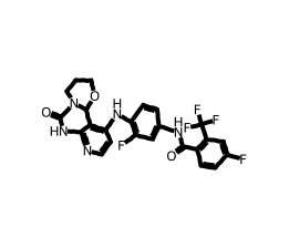 O=C(Nc1ccc(Nc2ccnc3c2C2OCCCN2C(=O)N3)c(F)c1)c1ccc(F)cc1C(F)(F)F